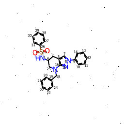 O=S(=O)(NC1Cc2cn(-c3ccccc3)nc2N(Cc2ccccc2)C1)c1ccccc1